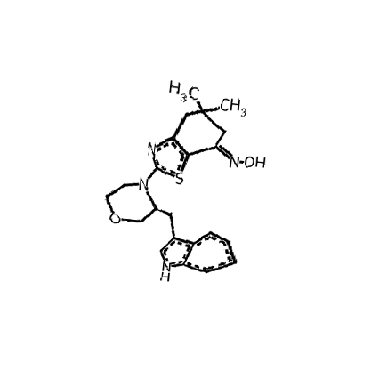 CC1(C)CC(=NO)c2sc(N3CCOC[C@@H]3Cc3c[nH]c4ccccc34)nc2C1